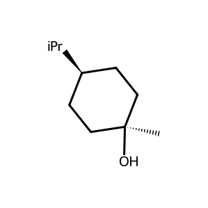 CC(C)[C@H]1CC[C@@](C)(O)CC1